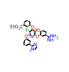 CCOC(=O)c1cccc(Oc2c(F)c(Oc3cccc(-c4nccn4C)c3)nc(Oc3cc(C(=N)N)ccc3O)c2F)c1